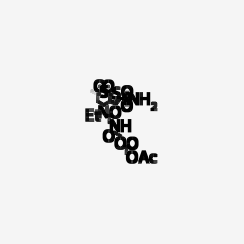 CCN(C(=O)CNC(=O)COC(=O)COC(C)=O)[C@H]1C[C@H](C)S(=O)(=O)c2sc(S(N)(=O)=O)cc21